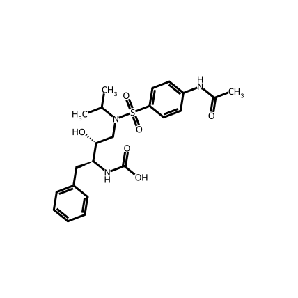 CC(=O)Nc1ccc(S(=O)(=O)N(C[C@@H](O)[C@H](Cc2ccccc2)NC(=O)O)C(C)C)cc1